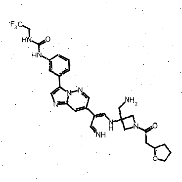 N=C/C(=C\NC1(CN)CN(C(=O)CC2CCCO2)C1)c1cnn2c(-c3cccc(NC(=O)NCC(F)(F)F)c3)cnc2c1